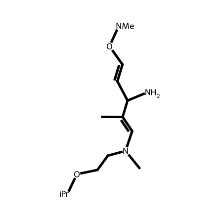 CNO/C=C/C(N)/C(C)=C/N(C)CCOC(C)C